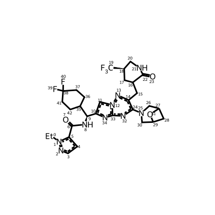 CCn1nccc1C(=O)N[C@H](c1cn2nc(CC3C[C@@H](C(F)(F)F)CNC3=O)c(N3CC4CC(C3)O4)nc2n1)C1CCC(F)(F)CC1